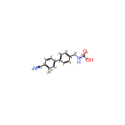 N#Cc1ccc(-c2ccc(CNC(=O)O)cc2)cc1F